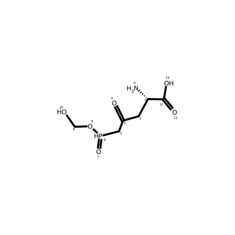 N[C@@H](CC(=O)C[PH](=O)OCO)C(=O)O